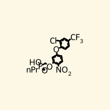 CCCP(=O)(O)COc1cc(Oc2ccc(C(F)(F)F)cc2Cl)ccc1[N+](=O)[O-]